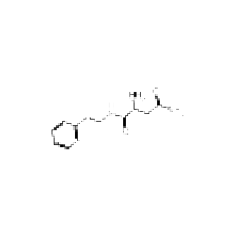 NC(=O)CC(N)C(=O)NCCc1ccccc1